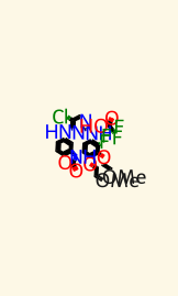 COCCOc1ccc(Nc2ncc(Cl)c(Nc3ccc4oc(=O)[nH]c4c3)n2)c(F)c1OCCOC.O=C(O)C(F)(F)F